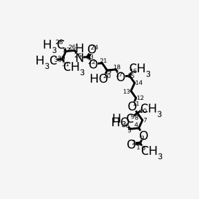 CC(=O)OC(CO)CC(C)(C)OCCCC(C)OCC(O)COC(=O)NCC(C)C(C)C